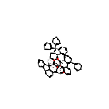 CC1(C)c2ccccc2-c2cccc(-c3cccc(N(c4cccc(-c5ccccc5)c4-c4ccccc4-c4ccccc4)c4cccc5c4-c4ccccc4C5(c4ccccc4)c4ccccc4)c3)c21